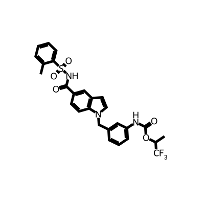 Cc1ccccc1S(=O)(=O)NC(=O)c1ccc2c(ccn2Cc2cccc(NC(=O)OC(C)C(F)(F)F)c2)c1